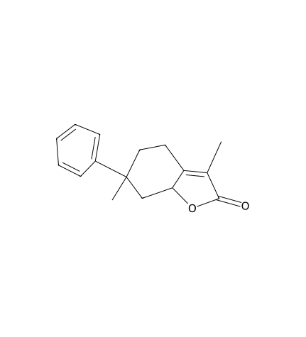 CC1=C2CCC(C)(c3ccccc3)CC2OC1=O